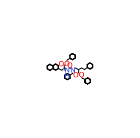 O=C(OCc1ccccc1)C(CCc1ccccc1)CN(Cc1ccccc1)C(=O)N[C@@H](Cc1ccc2ccccc2c1)C(=O)OCc1ccccc1